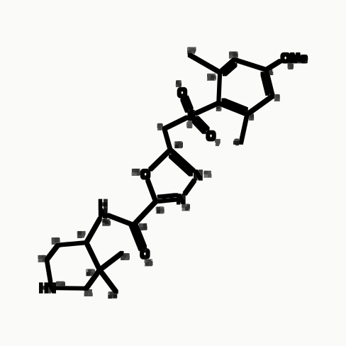 COc1cc(C)c(S(=O)(=O)Cc2nnc(C(=O)NC3CCNCC3(C)C)o2)c(C)c1